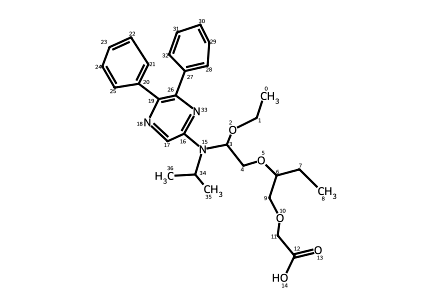 CCOC(COC(CC)COCC(=O)O)N(c1cnc(-c2ccccc2)c(-c2ccccc2)n1)C(C)C